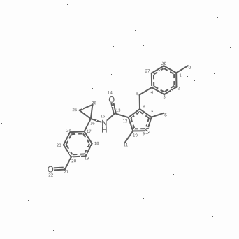 Cc1ccc(Cc2c(C)sc(C)c2C(=O)NC2(c3ccc(C=O)cc3)CC2)cc1